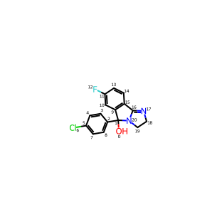 OC1(c2ccc(Cl)cc2)c2cc(F)ccc2C2=NCCN21